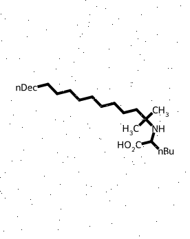 CCCCCCCCCCCCCCCCCCCC(C)(C)NC(CCCC)C(=O)O